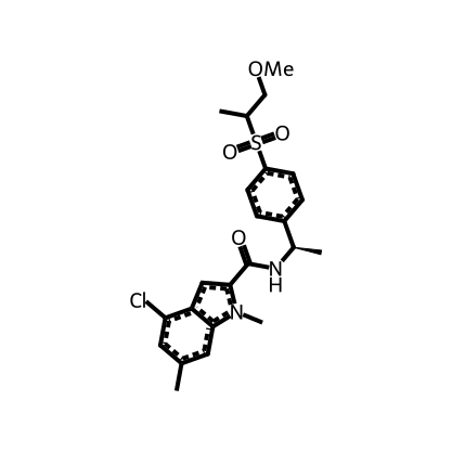 COCC(C)S(=O)(=O)c1ccc([C@@H](C)NC(=O)c2cc3c(Cl)cc(C)cc3n2C)cc1